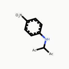 CC(=O)C(Nc1ccc([N+](=O)[O-])cc1)C(C)=O